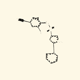 N#Cc1ccc(NS(=O)(=O)c2c[nH]c(-c3ccccc3)c2)c(F)c1